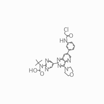 CC(C)(C)N(C(=O)O)c1ncc(-c2nc(N3CCOCC3)c3ncc(-c4cccc(NC(=O)CCl)c4)cc3n2)cn1